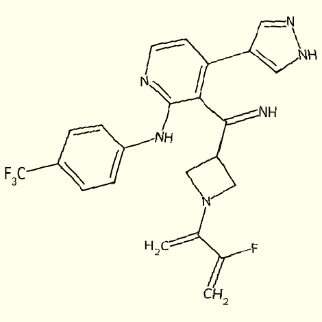 C=C(F)C(=C)N1CC(C(=N)c2c(-c3cn[nH]c3)ccnc2Nc2ccc(C(F)(F)F)cc2)C1